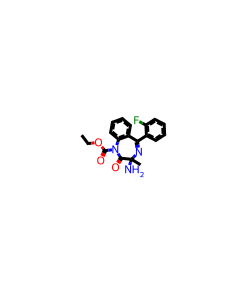 CCOC(=O)N1C(=O)C(C)(N)N=C(c2ccccc2F)c2ccccc21